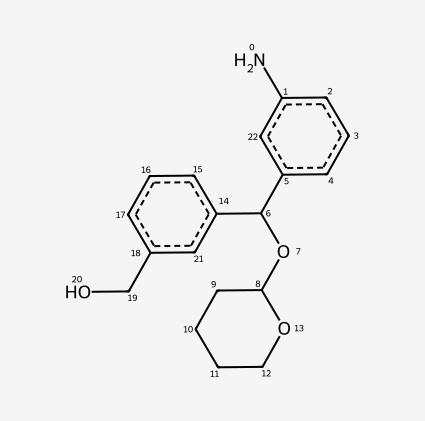 Nc1cccc(C(OC2CCCCO2)c2cccc(CO)c2)c1